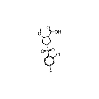 CO[C@H]1C[C@@H](S(=O)(=O)c2ccc(F)cc2Cl)C[C@@H]1C(=O)O